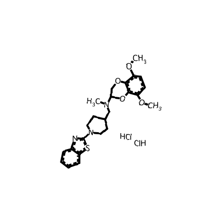 COc1ccc(OC)c2c1OCC(N(C)CC1CCN(c3nc4ccccc4s3)CC1)O2.Cl.Cl